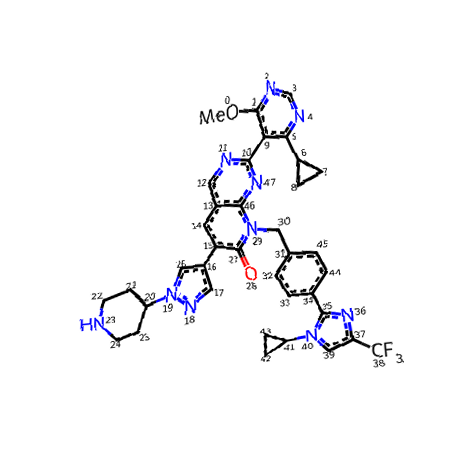 COc1ncnc(C2CC2)c1-c1ncc2cc(-c3cnn(C4CCNCC4)c3)c(=O)n(Cc3ccc(-c4nc(C(F)(F)F)cn4C4CC4)cc3)c2n1